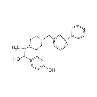 CC(C(O)c1ccc(O)cc1)N1CCC(Cc2cccc(-c3ccccc3)c2)CC1